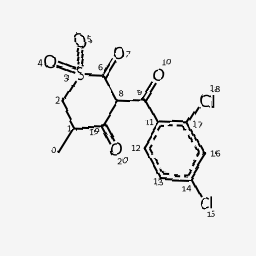 CC1CS(=O)(=O)C(=O)C(C(=O)c2ccc(Cl)cc2Cl)C1=O